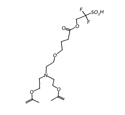 C=C(C)OCCN(CCOCCCC(=O)OCC(F)(F)S(=O)(=O)O)CCOC(=C)C